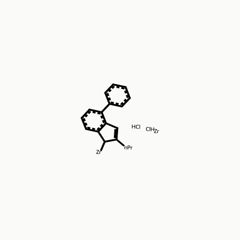 CCCC1=Cc2c(-c3ccccc3)cccc2[CH]1[Zr].Cl.Cl.[Zr]